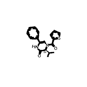 CC(C)[C@H]1C(=O)NC(c2ccccc2)=CN1C(=O)c1cccs1